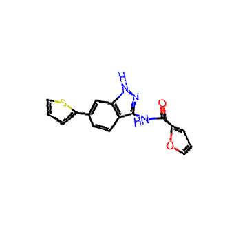 O=C(Nc1n[nH]c2cc(-c3cccs3)ccc12)c1ccco1